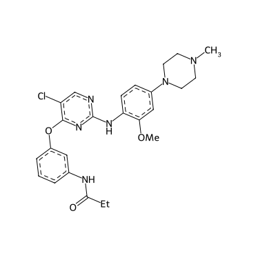 CCC(=O)Nc1cccc(Oc2nc(Nc3ccc(N4CCN(C)CC4)cc3OC)ncc2Cl)c1